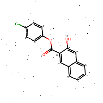 O=C(Oc1ccc(Cl)cc1)c1cc2ccccc2cc1O